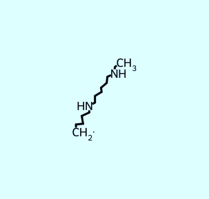 [CH2]CCCCNCCCCCCNCC